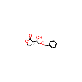 O=C1OCC[C@H]1[C@H](O)COCc1ccccc1